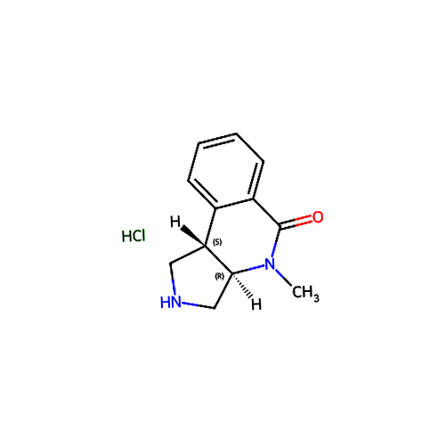 CN1C(=O)c2ccccc2[C@H]2CNC[C@@H]21.Cl